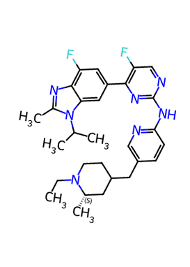 CCN1CCC(Cc2ccc(Nc3ncc(F)c(-c4cc(F)c5nc(C)n(C(C)C)c5c4)n3)nc2)C[C@@H]1C